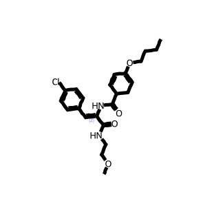 CCCCOC1=CCC(C(=O)N/C(=C\c2ccc(Cl)cc2)C(=O)NCCOC)C=C1